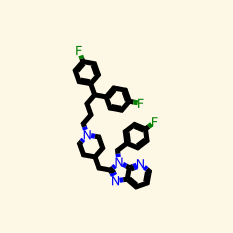 Fc1ccc(Cn2c(CC3CCN(CCCC(c4ccc(F)cc4)c4ccc(F)cc4)CC3)nc3cccnc32)cc1